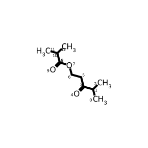 CC(C)C(=O)CCOC(=O)C(C)C